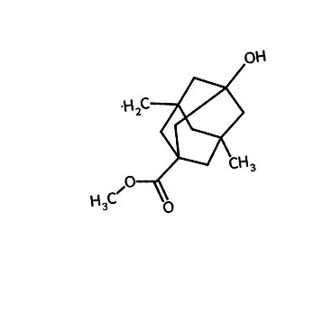 [CH2]C12CC3(C)CC(O)(C1)CC(C(=O)OC)(C2)C3